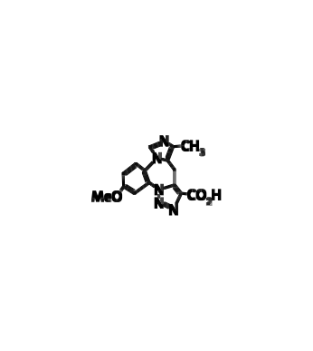 COc1ccc2c(c1)-n1nnc(C(=O)O)c1Cc1c(C)ncn1-2